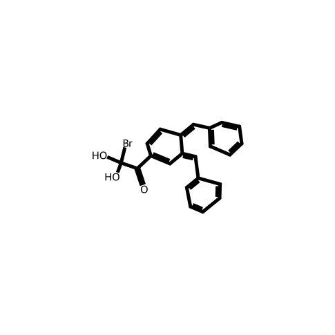 O=C(c1ccc(=Cc2ccccc2)c(=Cc2ccccc2)c1)C(O)(O)Br